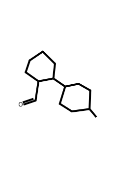 CC1CCC(C2CCCCC2C=O)CC1